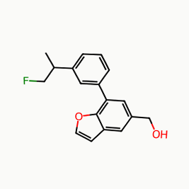 CC(CF)c1cccc(-c2cc(CO)cc3ccoc23)c1